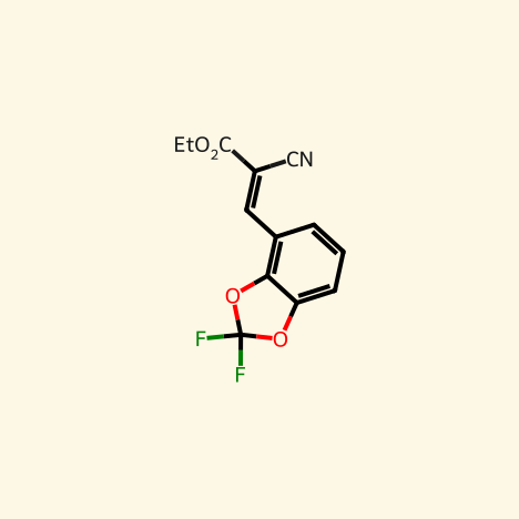 CCOC(=O)C(C#N)=Cc1cccc2c1OC(F)(F)O2